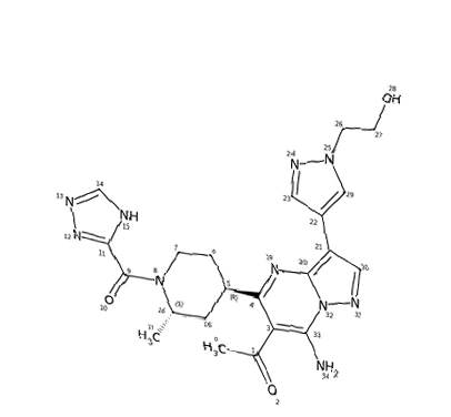 CC(=O)c1c([C@@H]2CCN(C(=O)c3nnc[nH]3)[C@@H](C)C2)nc2c(-c3cnn(CCO)c3)cnn2c1N